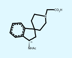 CC(=O)N[C@H]1CC2(CCN(CC(=O)O)CC2)c2ccccc21